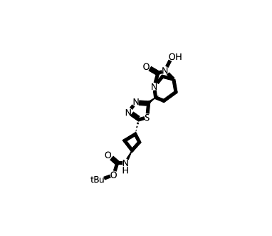 CC(C)(C)OC(=O)N[C@H]1C[C@H](c2nnc([C@@H]3CCC4CN3C(=O)N4O)s2)C1